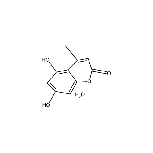 Cc1cc(=O)oc2cc(O)cc(O)c12.O